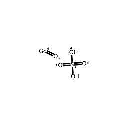 O=S(=O)(O)O.[O]=[Gd]